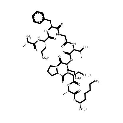 C[C@H](N)C(=O)N[C@@H](CCC(=O)O)C(=O)N[C@@H](Cc1ccccc1)C(=O)NCC(=O)N[C@H](C(=O)N[C@@H](CCC(=O)O)C(=O)N1CCC[C@H]1C(=O)N[C@@H](CC(=O)O)C(=O)N[C@@H](C)C(=O)N[C@@H](CCCCN)C(=O)O)[C@@H](C)O